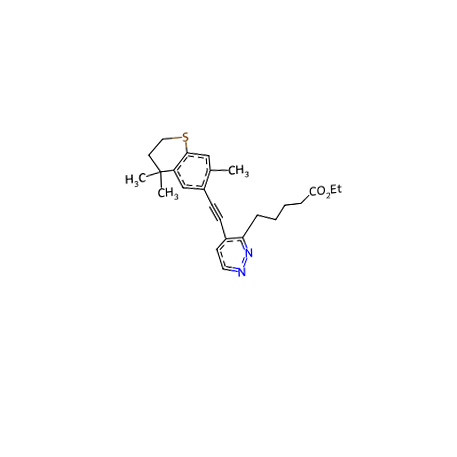 CCOC(=O)CCCCc1nnccc1C#Cc1cc2c(cc1C)SCCC2(C)C